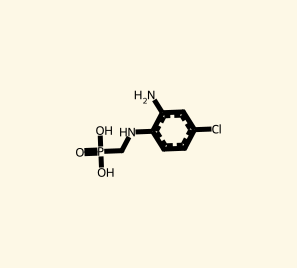 Nc1cc(Cl)ccc1NCP(=O)(O)O